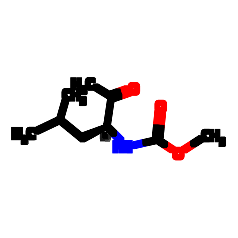 COC(=O)N[C@@H](CC(C)C)C(C)=O